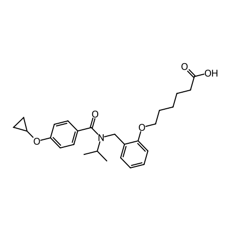 CC(C)N(Cc1ccccc1OCCCCCC(=O)O)C(=O)c1ccc(OC2CC2)cc1